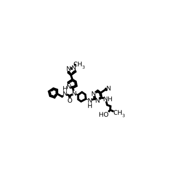 CC(O)CCNc1nc(N[C@H]2CC[C@H](N(C(=O)NCc3ccccc3)c3ccc(-c4cnn(C)c4)cn3)CC2)ncc1C#N